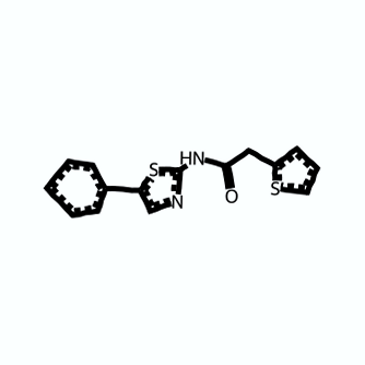 O=C(Cc1cccs1)Nc1ncc(-c2ccccc2)s1